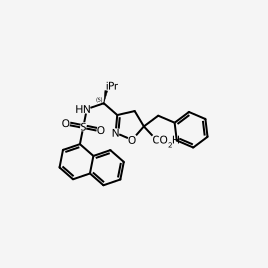 CC(C)[C@H](NS(=O)(=O)c1cccc2ccccc12)C1=NOC(Cc2ccccc2)(C(=O)O)C1